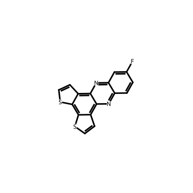 Fc1ccc2nc3c4ccsc4c4sccc4c3nc2c1